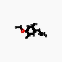 BCc1cc(C)c(OCC)cc1C